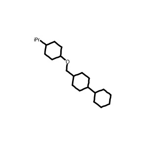 CC(C)C1CCC(OCC2CCC(C3CCCCC3)CC2)CC1